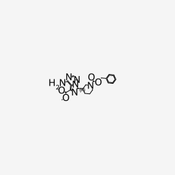 COC(=O)c1nc([C@@H]2CCCN(C(=O)OCc3ccccc3)C2)n2ncnc(N)c12